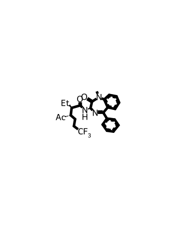 CC[C@@H](C(=O)N[C@H]1N=C(c2ccccc2)c2ccccc2N(C)C1=O)[C@H](CCC(F)(F)F)C(C)=O